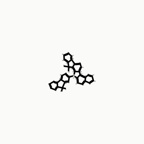 CC1(C)c2ccccc2-c2ccc(-n3c4ccc5ccccc5c4c4ccc5c(c43)C(C)(C)c3ccccc3-5)cc21